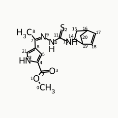 COC(=O)c1cc(C(C)=NNC(=S)NC2CC3C=CC2C3)c[nH]1